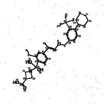 CCc1cc(/C(C)=N/OCc2ccc(C3CCCCC3)c(C(F)(F)F)c2)ccc1C(O)(O)N1CC(C(=O)O)C1